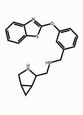 c1cc(CNCC2NCC3CC32)cc(Oc2nc3ccccc3s2)c1